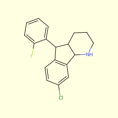 Fc1ccccc1C1c2ccc(Cl)cc2C2NCCCC21